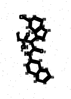 CCP(=O)(O)C(C(=O)Nc1ccc2ccccc2c1)c1csc2ccc(Cl)cc12